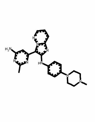 Cc1nc(N)cc(-c2c(Nc3ccc(N4CCN(C)CC4)cc3)nc3cccnn23)n1